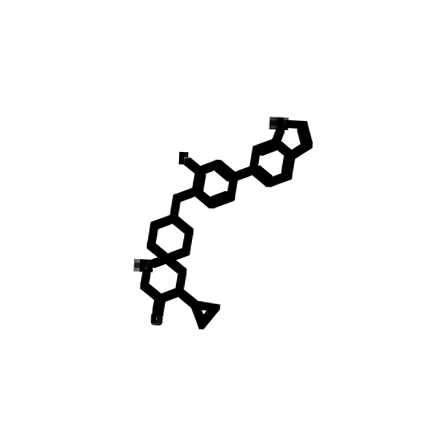 O=C1CNC2(CCC(Cc3ccc(-c4ccc5cc[nH]c5c4)cc3F)CC2)CC1C1CC1